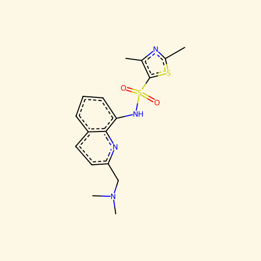 Cc1nc(C)c(S(=O)(=O)Nc2cccc3ccc(CN(C)C)nc23)s1